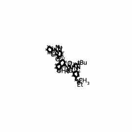 CCN(C)Cc1ccc(-n2nc(C(C)(C)C)cc2N(OC=O)C(=O)N[C@H]2CC[C@@H](Oc3ccc4nnc(N5CCCC[C@@H]5C)n4c3)c3ccccc32)cc1